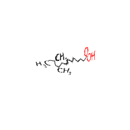 CCC(C)CC(C)CCCCCCCCC(=O)O